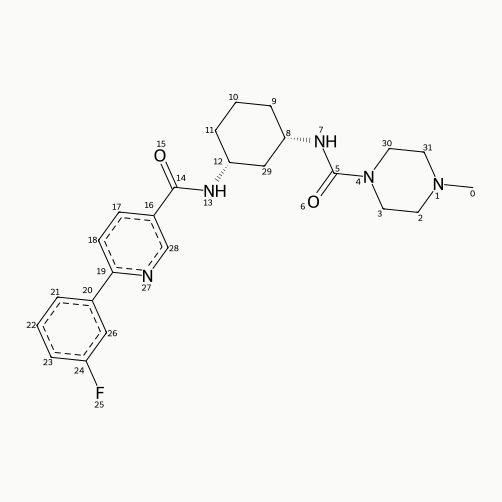 CN1CCN(C(=O)N[C@H]2CCC[C@@H](NC(=O)c3ccc(-c4cccc(F)c4)nc3)C2)CC1